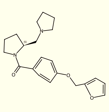 O=C(c1ccc(OCc2ccco2)cc1)N1CCC[C@H]1CN1CCCC1